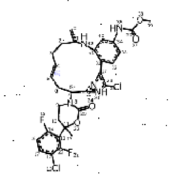 C=C1CC/C=C/C[C@H](N2CCC(C)(c3c(F)ccc(Cl)c3F)OC2=O)c2nc(c(Cl)[nH]2)-c2ccc(NC(=O)OC)cc2N1